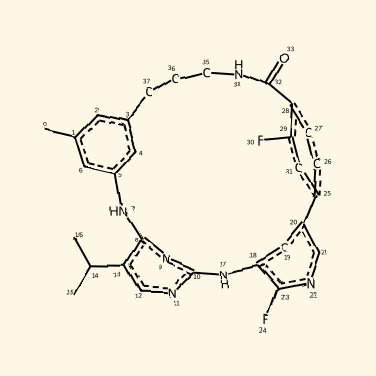 Cc1cc2cc(c1)Nc1nc(ncc1C(C)C)Nc1cc(cnc1F)-c1ccc(c(F)c1)C(=O)NCCC2